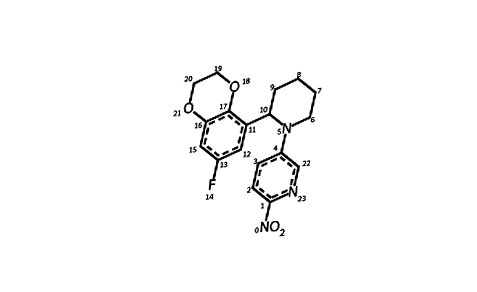 O=[N+]([O-])c1ccc(N2CCCCC2c2cc(F)cc3c2OCCO3)cn1